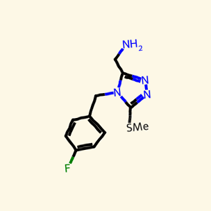 CSc1nnc(CN)n1Cc1ccc(F)cc1